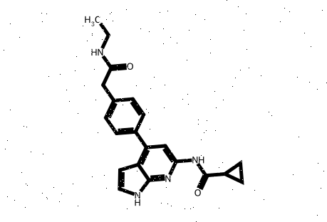 CCNC(=O)Cc1ccc(-c2cc(NC(=O)C3CC3)nc3[nH]ccc23)cc1